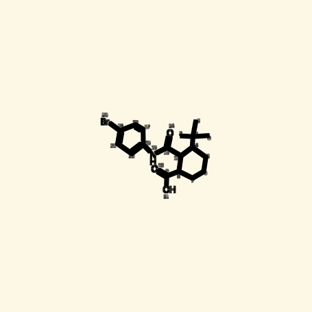 CC(C)(C)C1CCCC(C(=O)O)C1C(=O)Nc1ccc(Br)cc1